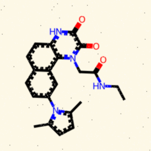 CCNC(=O)Cn1c(=O)c(=O)[nH]c2ccc3ccc(-n4c(C)ccc4C)cc3c21